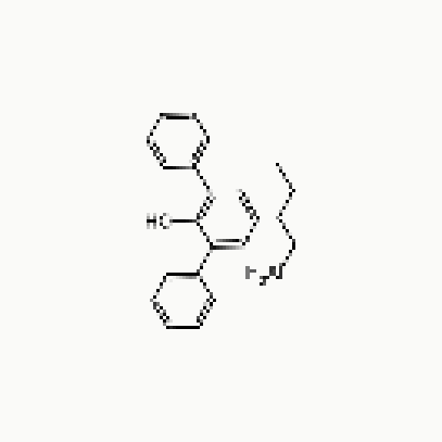 CCC[CH2][AlH2].Oc1c(-c2ccccc2)cccc1-c1ccccc1